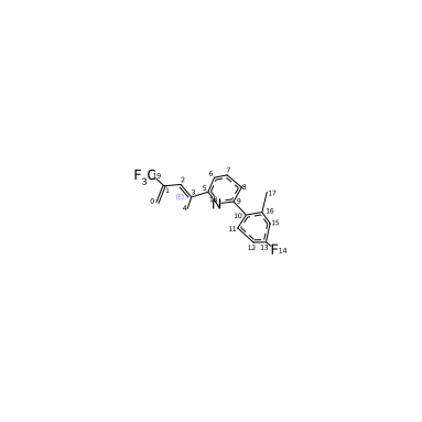 C=C(/C=C(\C)c1cccc(-c2ccc(F)cc2C)n1)C(F)(F)F